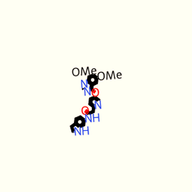 COc1cc2ncnc(Oc3ccc(CC(=O)Nc4ccc5c(c4)NCC5)nc3)c2cc1OC